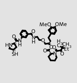 CCC(C)(C)C(=O)C(=O)N1CCCC[C@H]1C(=O)O[C@H](CCc1ccc(OC)c(OC)c1)COCCNC(=O)c1cccc(NC(=O)[C@@H]2C[C@H](S)CN2)c1